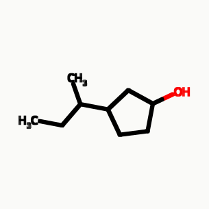 CCC(C)C1CCC(O)C1